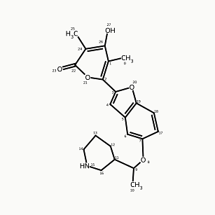 Cc1c(-c2cc3cc(OC(C)C4CCCNC4)ccc3o2)oc(=O)c(C)c1O